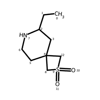 CCC1CC2(CCN1)CS(=O)(=O)C2